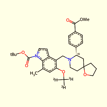 [2H]C([2H])([2H])Oc1cc(C)c2c(ccn2C(=O)OC(C)(C)C)c1CN1CCC2(CCCO2)C[C@H]1c1ccc(C(=O)OC)cc1